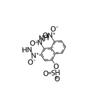 N=[N+]([O-])c1cc(O[SH](=O)=O)c2cccc([N+](=O)[O-])c2c1[N+](=N)[O-]